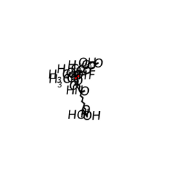 CC1(C)O[C@@H]2CC3[C@@H]4CC(F)C5=CC(=O)C=C[C@]5(C)C4[C@@H](O)C[C@]3(C)[C@]2(C(=O)COC(=O)CNC(=O)CCCCCON(O)O)O1